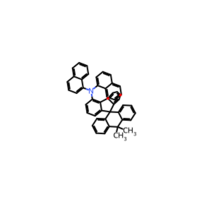 CC1(C)c2ccccc2C2(c3ccccc3-c3c(N(c4cccc5ccccc45)c4cccc5ccccc45)cccc32)c2ccccc21